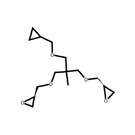 CC(COCC1CC1)(COC[C@@H]1CO1)COC[C@H]1CO1